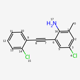 Cc1cc(Cl)cc(C#Cc2ccccc2Cl)c1N